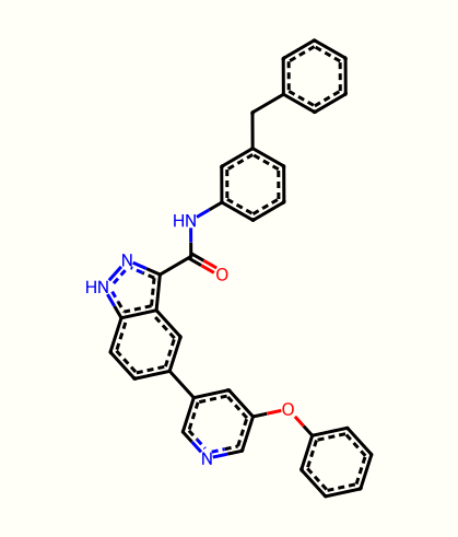 O=C(Nc1cccc(Cc2ccccc2)c1)c1n[nH]c2ccc(-c3cncc(Oc4ccccc4)c3)cc12